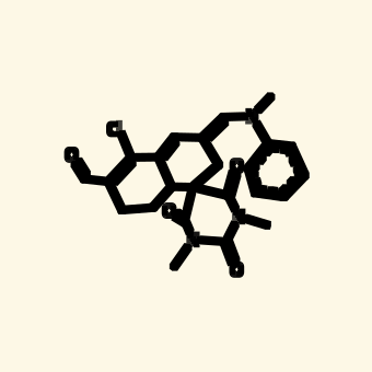 CN1C(=O)N(C)C(=O)C2(C/C(=C\N(C)c3ccccc3)C=C3C(Cl)=C(C=O)CCC32)C1=O